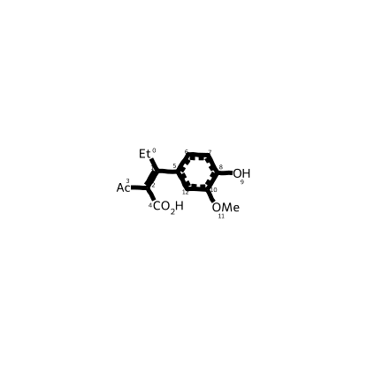 CCC(=C(C(C)=O)C(=O)O)c1ccc(O)c(OC)c1